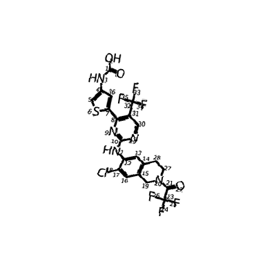 O=C(O)Nc1csc(-c2nc(Nc3cc4c(cc3Cl)CN(C(=O)C(F)(F)F)CC4)ncc2C(F)(F)F)c1